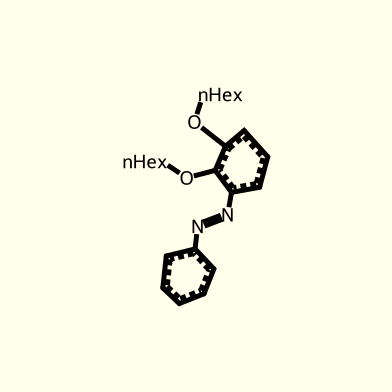 CCCCCCOc1cccc(N=Nc2ccccc2)c1OCCCCCC